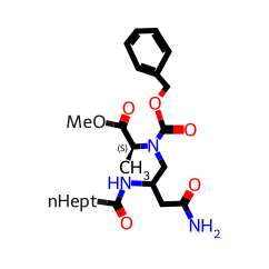 CCCCCCCC(=O)NC(CC(N)=O)CN(C(=O)OCc1ccccc1)[C@@H](C)C(=O)OC